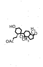 CC(=O)OCC[C@H]1C[C@@H](O)CC[C@]1(C)C1CC[C@]2(C)C(=O)CCC2[C@@H]1C